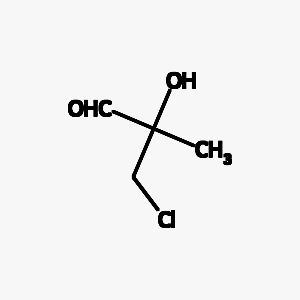 CC(O)(C=O)CCl